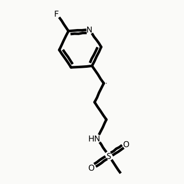 CS(=O)(=O)NCC[CH]c1ccc(F)nc1